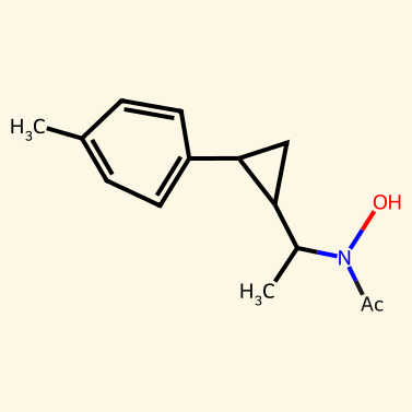 CC(=O)N(O)C(C)C1CC1c1ccc(C)cc1